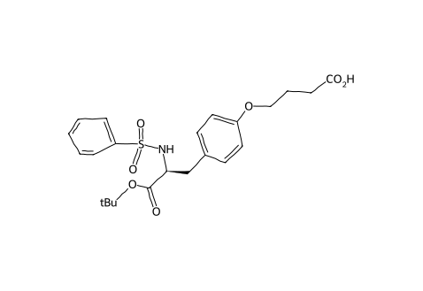 CC(C)(C)OC(=O)[C@H](Cc1ccc(OCCCC(=O)O)cc1)NS(=O)(=O)c1ccccc1